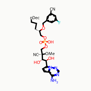 CCCCCCCCCCCCC[C@@H](COP(=O)(O)OC[C@@](C#N)(OC)[C@@H](O)[C@@H](O)c1ccc2c(N)ncnn12)OCc1cc(F)cc(C#N)c1